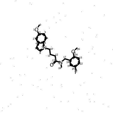 COc1ccc2c(ccn2CCCC(=O)N(C)Cc2cc(F)ccc2OC)c1